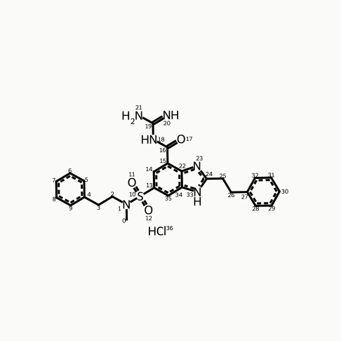 CN(CCc1ccccc1)S(=O)(=O)c1cc(C(=O)NC(=N)N)c2nc(CCc3ccccc3)[nH]c2c1.Cl